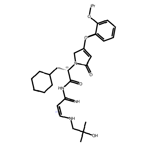 CC(C)Oc1ccccc1OC1=CC(=O)N([C@@H](CC2CCCCC2)C(=O)NC(=N)/C=C\NCC(C)(C)O)C1